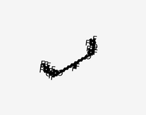 Cc1c(F)cc(OC(F)(F)c2c(F)cc(OCCCCCCCC(CCCCCCCOc3cc(F)c(C(F)(F)Oc4cc(F)c(C(F)(F)F)c(F)c4)c(F)c3)=C(F)F)cc2F)cc1F